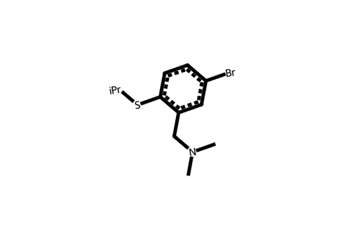 CC(C)Sc1ccc(Br)cc1CN(C)C